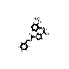 COc1cccc([C@H]2[C@@H](C(=O)O)CCN2C(=O)OCc2ccccc2)c1C